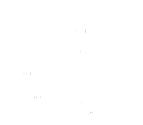 CC(OC=O)c1cn(C)c2ccc(NC(=O)C3(N)CCCC3)cc12